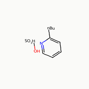 CCCCc1ccccn1.O=S(=O)(O)O